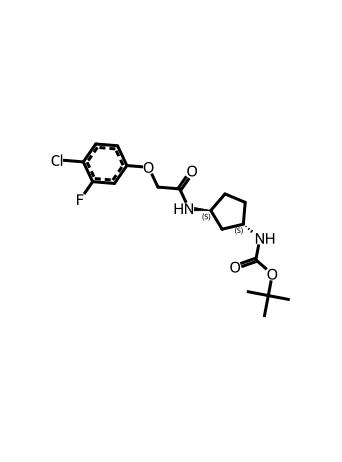 CC(C)(C)OC(=O)N[C@H]1CC[C@H](NC(=O)COc2ccc(Cl)c(F)c2)C1